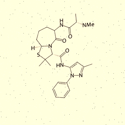 CN[C@@H](C)C(=O)NC1CCC[C@@H]2SC(C)(C)[C@@H](C(=O)Nc3cc(C)nn3-c3ccccc3)N2C1=O